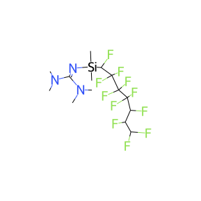 CN(C)C(=N[Si](C)(C)C(F)C(F)(F)C(F)(F)C(F)(F)C(F)C(F)C(F)F)N(C)C